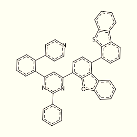 c1ccc(-c2nc(-c3ccccc3-c3ccncc3)cc(-c3ccc(-c4cccc5c4sc4ccccc45)c4c3oc3ccccc34)n2)cc1